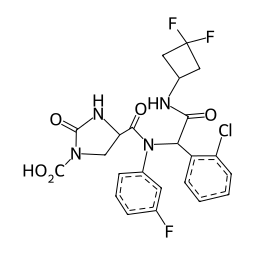 O=C(NC1CC(F)(F)C1)C(c1ccccc1Cl)N(C(=O)C1CN(C(=O)O)C(=O)N1)c1cccc(F)c1